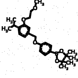 COCCOc1cc(COc2ccc(B3OC(C)(C)C(C)(C)O3)cc2)ccc1C(C)C